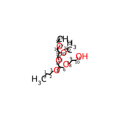 CCCCOC(COCCCO)COCC(COCC)OCC